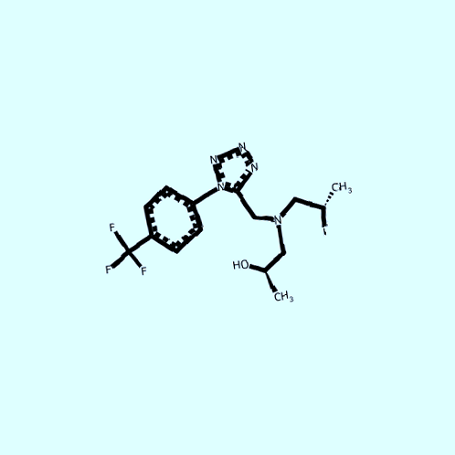 C[C@H](I)CN(Cc1nnnn1-c1ccc(C(F)(F)F)cc1)C[C@@H](C)O